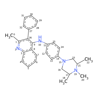 Cc1nc2ccccc2c(Nc2ccc(N3CC(C)N(C)C(C)C3)cc2)c1-c1ccccc1